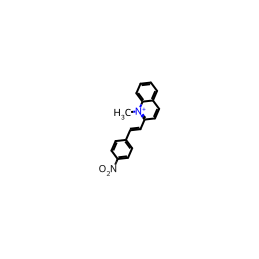 C[n+]1c(C=Cc2ccc([N+](=O)[O-])cc2)ccc2ccccc21